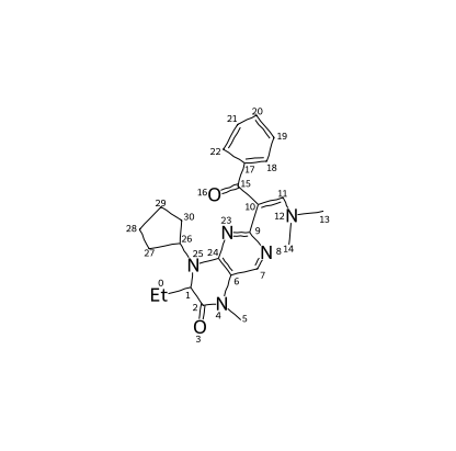 CCC1C(=O)N(C)c2cnc(C(=CN(C)C)C(=O)c3ccccc3)nc2N1C1CCCC1